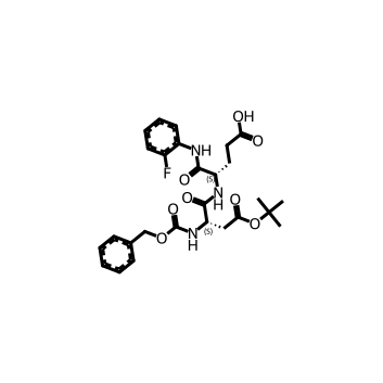 CC(C)(C)OC(=O)C[C@H](NC(=O)OCc1ccccc1)C(=O)N[C@@H](CCC(=O)O)C(=O)Nc1ccccc1F